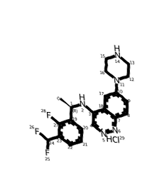 C[C@@H](Nc1cnnc2ccc(N3CCNCC3)cc12)c1cccc(C(F)F)c1F.Cl